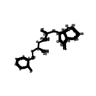 Cc1ccccc1OC[C@H](O)CNC(C)Cc1c[nH]c2ccccc12